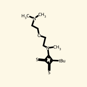 CN(C)CCOCCN(C)c1c(C(C)(C)C)c(=S)c1=S